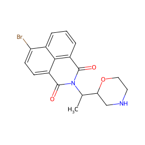 CC(C1CNCCO1)N1C(=O)c2cccc3c(Br)ccc(c23)C1=O